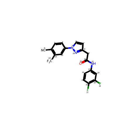 N#Cc1ccc(-n2ccc(CC(=O)Nc3ccc(F)c(F)c3)n2)cc1C(F)(F)F